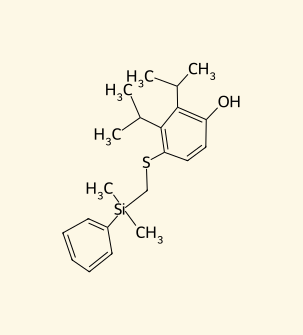 CC(C)c1c(O)ccc(SC[Si](C)(C)c2ccccc2)c1C(C)C